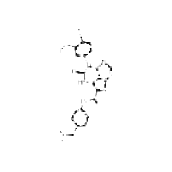 CN(C)Cc1ccc(NC(=O)c2sc3ncnc4c3c2NC(=O)N4c2ccc(F)c(CI)c2)cc1